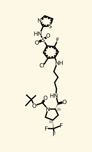 CC(C)(C)OC(=O)N1C[C@@H](C(F)(F)F)C[C@H]1C(=O)NCCCCNc1cc(F)c(S(=O)(=O)Nc2nccs2)cc1Cl